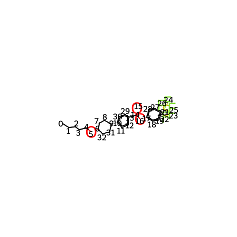 CCCCCO[C@H]1CC[C@H](c2ccc(C(=O)Oc3ccc(S(F)(F)(F)(F)F)cc3)cc2)CC1